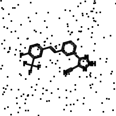 N#Cc1n[nH]nc1-c1cccc(C=Cc2ccc(F)c(C(F)(F)F)c2)c1